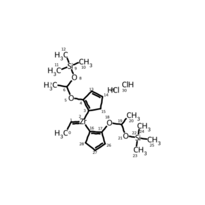 C[CH]=[Zr]([C]1=C(OC(C)O[Si](C)(C)C)C=CC1)[C]1=C(OC(C)O[Si](C)(C)C)C=CC1.Cl.Cl